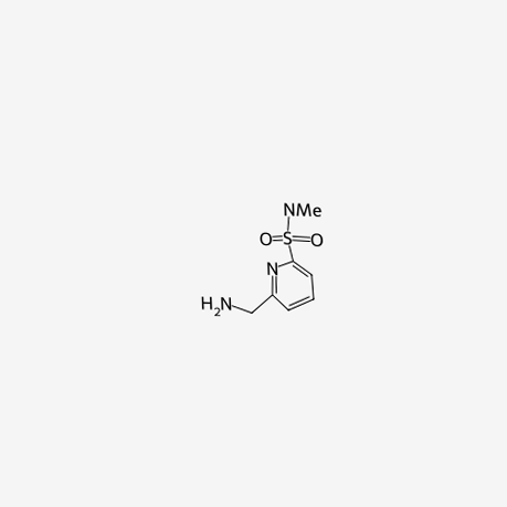 CNS(=O)(=O)c1cccc(CN)n1